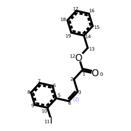 O=C(C/C=C\c1ccccc1I)OCc1ccccc1